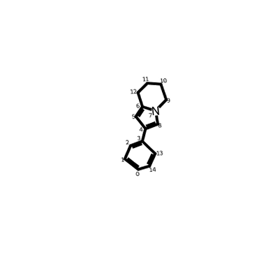 c1ccc(-c2cc3n(c2)CCCC3)cc1